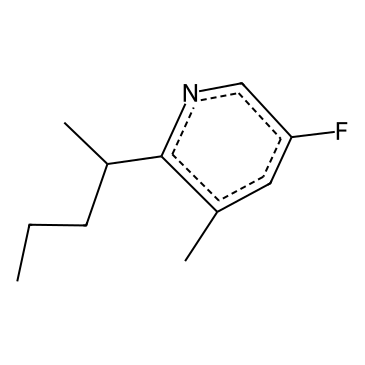 CCCC(C)c1ncc(F)cc1C